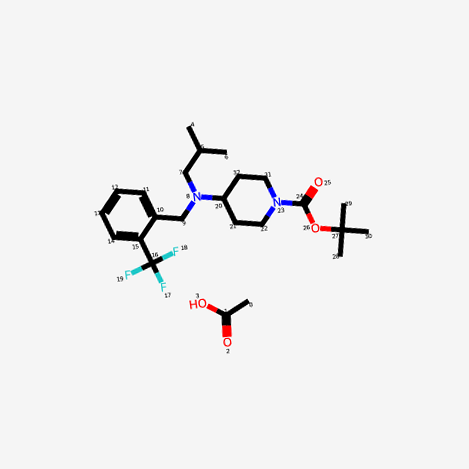 CC(=O)O.CC(C)CN(Cc1ccccc1C(F)(F)F)C1CCN(C(=O)OC(C)(C)C)CC1